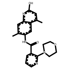 Cc1cc2nc(O)cc(C)c2cc1NC(=O)c1cccnc1N1CCOCC1